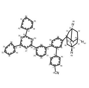 N#Cc1ccc(-c2cc(C34C[C@H]5C[C@H](C3)C[C@@H](C4)C5)ccc2-c2cccc(-c3nc(-c4ccccc4)nc(-c4ccccc4)n3)c2)cc1